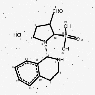 Cl.O=CC1CCN([C@@H]2NCCc3ccccc32)[C@@H]1P(=O)(O)O